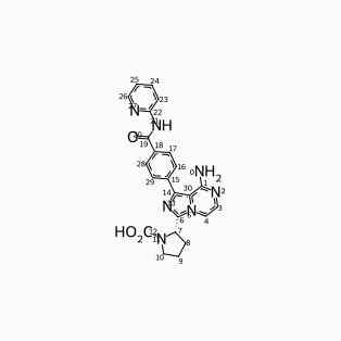 Nc1nccn2c([C@@H]3CCCN3C(=O)O)nc(-c3ccc(C(=O)Nc4ccccn4)cc3)c12